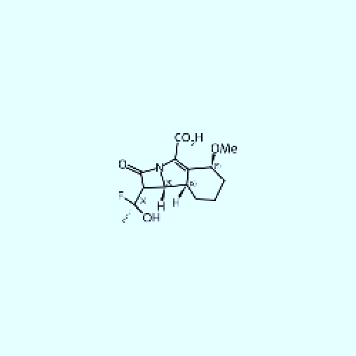 CO[C@H]1CCC[C@H]2C1=C(C(=O)O)N1C(=O)C([C@@](C)(O)F)[C@@H]21